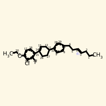 CCC/C=C/CCc1ccc(C2CC=C(c3ccc(OCC)c(Cl)c3F)CC2)cc1